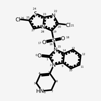 O=c1n(C2=CCNCC2)c2ccccc2n1S(=O)(=O)c1c(Cl)nc2sc(Cl)cn12